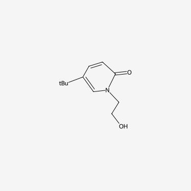 CC(C)(C)c1ccc(=O)n(CCO)c1